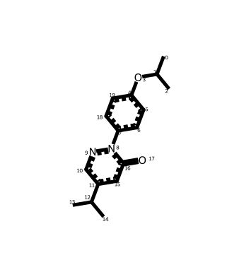 CC(C)Oc1ccc(-n2ncc(C(C)C)cc2=O)cc1